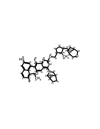 CCc1c(F)ccc2cc(O)cc(-c3c(Cl)cc4c(N5CC6CCC(C5)N6)nc(OCC5CCC(CN6C7CCC6COC7)[C@H]5C)nc4c3F)c12